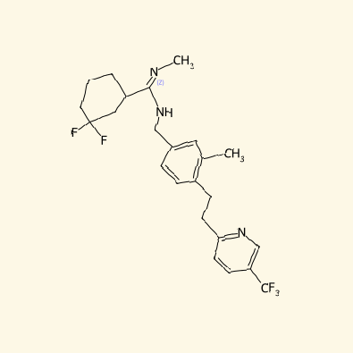 C/N=C(\NCc1ccc(CCc2ccc(C(F)(F)F)cn2)c(C)c1)C1CCCC(F)(F)C1